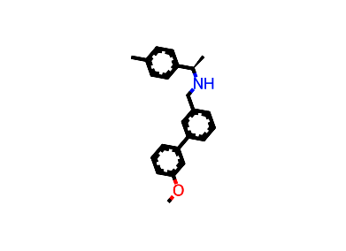 COc1cccc(-c2cccc(CN[C@H](C)c3ccc(C)cc3)c2)c1